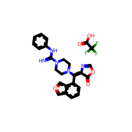 N=C(Nc1ccccc1)N1CCN(C(=C2N=COC2=O)c2cccc3cocc23)CC1.O=C(O)C(F)(F)F